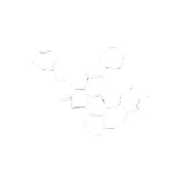 O=C1c2c(OCc3ccccc3)c(=O)ccn2N([C@@H]2c3ccccc3SCc3c2ccc(F)c3F)CN1C1CCCCC1